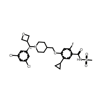 CS(=O)(=O)NC(=O)c1cc(C2CC2)c(OCC2CCN([C@@H](c3cc(Cl)cc(Cl)c3)C3COC3)CC2)cc1F